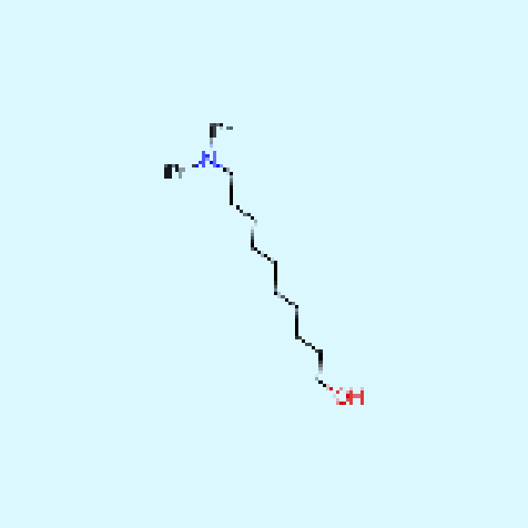 CC(C)N(CCCCCCCCCCO)C(C)C